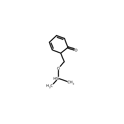 C[SiH](C)OCC1C=CC=CC1=O